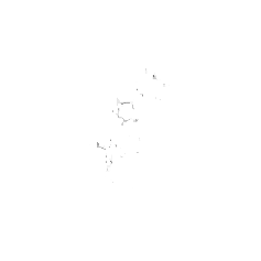 O=C1N2CC(CCC2c2nnc(N3CCOCC3)o2)N1OS(=O)(=O)O